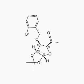 CC(=O)[C@H]1O[C@@H]2OC(C)(C)O[C@@H]2[C@H]1OCc1ccccc1Br